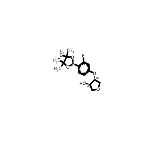 CC1(C)OB(c2ccc(O[C@@H]3COC[C@H]3O)cc2F)OC1(C)C